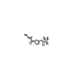 C=C/C=C(\C)C(=O)N1CC[C@H](CNS(=O)(=O)C=C)C1